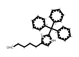 O=CCCCCc1c[nH]c(C(c2ccccc2)(c2ccccc2)c2ccccc2)n1